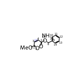 COC(=O)/C=C\C(=O)OCc1ccccc1.N